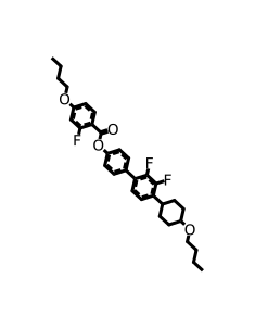 CCCCOc1ccc(C(=O)Oc2ccc(-c3ccc(C4CCC(OCCCC)CC4)c(F)c3F)cc2)c(F)c1